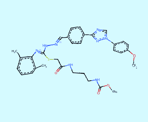 Cc1cccc(C)c1/N=C(/N/N=C/c1ccc(-c2ncn(-c3ccc(OC(F)(F)F)cc3)n2)cc1)SCC(=O)NCCCNC(=O)OC(C)(C)C